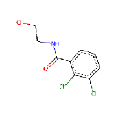 [O]CCNC(=O)c1cccc(Cl)c1Cl